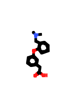 CN(C)Cc1ccccc1Oc1cccc(CC(=O)O)c1